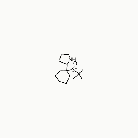 CC(C)(C)[S@+]([O-])C1(C2CCCN2)CCCCC1